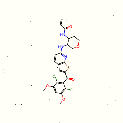 C=CC(=O)NC1CCOCC1Nc1ccc2cc(C(=O)c3c(Cl)c(OC)cc(OC)c3Cl)sc2n1